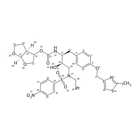 Cc1nc(COc2ccc(C[C@H](NC(=O)OC3CO[C@H]4OCC[C@@H]34)[C@H](O)CN(CC(C)C)S(=O)(=O)c3ccc([N+](=O)[O-])cc3)cc2)cs1